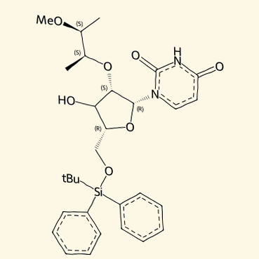 CO[C@@H](C)[C@H](C)O[C@H]1C(O)[C@@H](CO[Si](c2ccccc2)(c2ccccc2)C(C)(C)C)O[C@H]1n1ccc(=O)[nH]c1=O